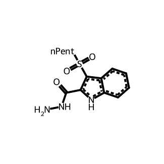 CCCCCS(=O)(=O)c1c(C(=O)NN)[nH]c2ccccc12